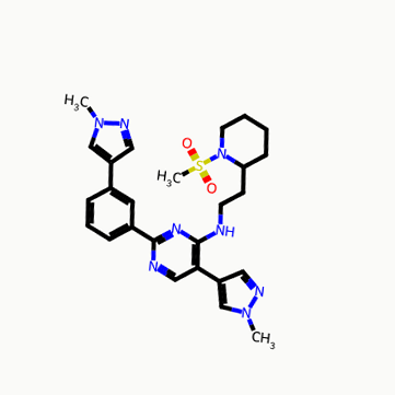 Cn1cc(-c2cccc(-c3ncc(-c4cnn(C)c4)c(NCCC4CCCCN4S(C)(=O)=O)n3)c2)cn1